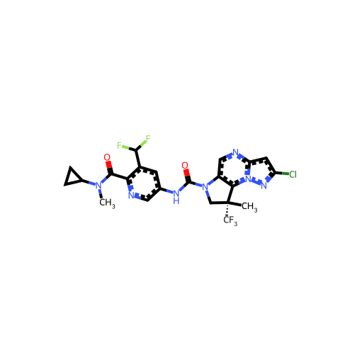 CN(C(=O)c1ncc(NC(=O)N2C[C@@](C)(C(F)(F)F)c3c2cnc2cc(Cl)nn32)cc1C(F)F)C1CC1